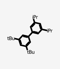 CC(C)c1cc(-c2cc(C(C)(C)C)cc(C(C)(C)C)c2)cc(C(C)C)c1